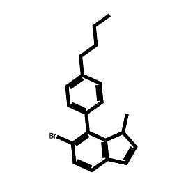 CCCCc1ccc(-c2c(Br)ccc3c2C(C)C=C3)cc1